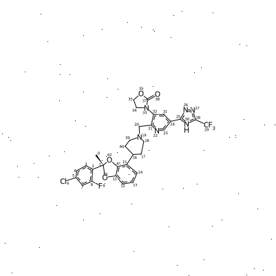 C[C@]1(c2ccc(Cl)cc2F)Oc2cccc(C3CCN(Cc4ncc(-c5nnc(C(F)(F)F)[nH]5)cc4N4CCOC4=O)CC3)c2O1